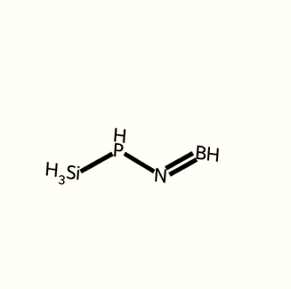 B=NP[SiH3]